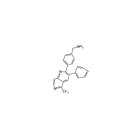 Cc1nccc2nc(-c3ccc(CN)cc3)c(-c3ccccc3)cc12